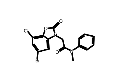 CN(C(=O)Cn1c(=O)oc2c(Cl)cc(Br)cc21)c1ccccc1